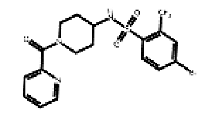 O=C(c1ccccn1)N1CCC(NS(=O)(=O)c2ccc(Br)cc2C(F)(F)F)CC1